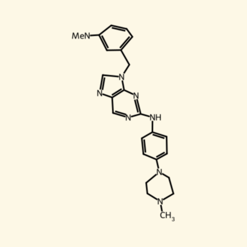 CNc1cccc(Cn2cnc3cnc(Nc4ccc(N5CCN(C)CC5)cc4)nc32)c1